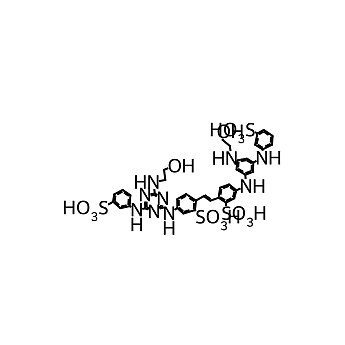 O=S(=O)(O)c1cccc(Nc2cc(NCCO)cc(Nc3ccc(C=Cc4ccc(Nc5nc(NCCO)nc(Nc6cccc(S(=O)(=O)O)c6)n5)cc4S(=O)(=O)O)c(S(=O)(=O)O)c3)c2)c1